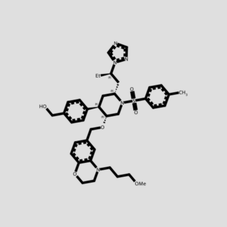 CC[C@H](C[C@H]1C[C@H](c2ccc(CO)cc2)[C@@H](OCc2ccc3c(c2)N(CCCOC)CCO3)CN1S(=O)(=O)c1ccc(C)cc1)n1cncn1